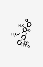 CCCCc1nc(C)n(-c2cccc(Cl)c2)c(=O)c1Cc1ccc(-c2ccccc2-c2noc(=O)[nH]2)cc1